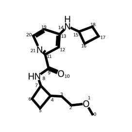 COCCC1CCC1NC(=O)c1cc(NC2CCC2)ccn1